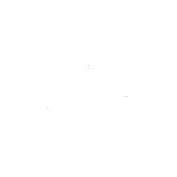 CC(=O)OCC1(C)CN1